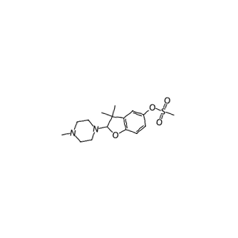 CN1CCN(C2Oc3ccc(OS(C)(=O)=O)cc3C2(C)C)CC1